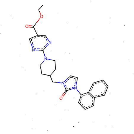 CCOC(=O)c1cnc(N2CCC(Cn3ccn(-c4cccc5ccccc45)c3=O)CC2)nc1